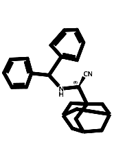 N#C[C@H](NC(c1ccccc1)c1ccccc1)C12CC3CC(CC(C3)C1)C2